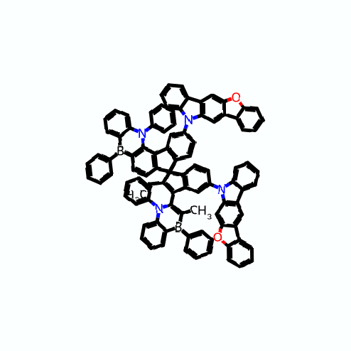 C=CC1=C(C2=C(C)B(c3ccccc3)c3ccccc3N2c2ccccc2)c2cc(-n3c4ccccc4c4cc5c(cc43)oc3ccccc35)ccc2C12c1ccc(-n3c4ccccc4c4cc5oc6ccccc6c5cc43)cc1-c1c2ccc2c1N(c1ccccc1)c1ccccc1B2c1ccccc1